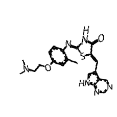 Cc1cc(OCCN(C)C)ccc1/N=C1/NC(=O)/C(=C/c2c[nH]c3ncncc23)S1